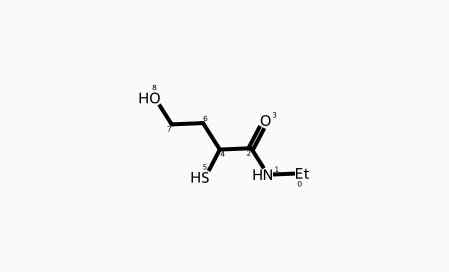 CCNC(=O)C(S)CCO